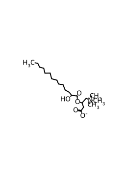 CCCCCCCCCCCCC(O)C(=O)OC(CC(=O)[O-])C[N+](C)(C)C